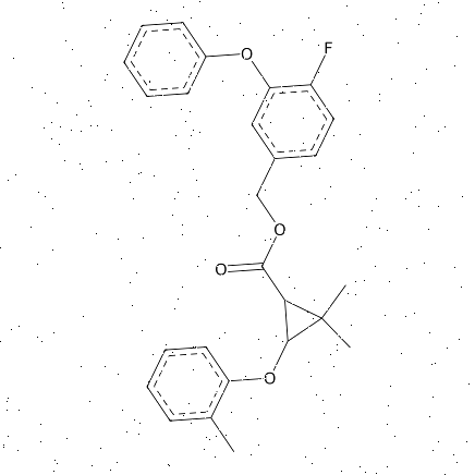 Cc1ccccc1OC1C(C(=O)OCc2ccc(F)c(Oc3ccccc3)c2)C1(C)C